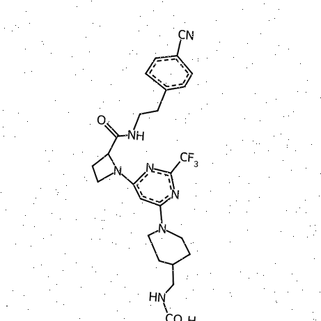 N#Cc1ccc(CCNC(=O)C2CCN2c2cc(N3CCC(CNC(=O)O)CC3)nc(C(F)(F)F)n2)cc1